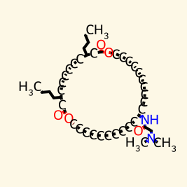 CCCCC1CCCCCCC(CCCC)CC(=O)OCCCCCCCCCCC(NC(=O)CN(C)C)CCCCCCCCCCOC(=O)C1